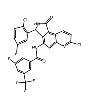 O=C(Nc1cc2nc(Cl)ccc2c2c1C(c1cc(F)ccc1Cl)NC2=O)c1cc(F)cc(C(F)(F)F)c1